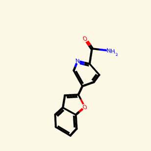 NC(=O)c1ccc(-c2cc3ccccc3o2)cn1